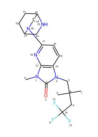 Cn1c(=O)n(CC(C)(C)CC(F)(F)F)c2ccc(N3CC4CCC3CN4)nc21